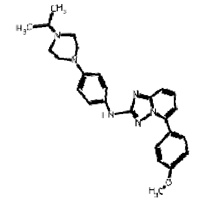 COc1ccc(-c2cccc3nc(Nc4ccc(N5CCN(C(C)C)CC5)cc4)nn23)cc1